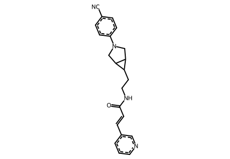 N#Cc1ccc(N2CC3C(CCNC(=O)/C=C/c4cccnc4)C3C2)cc1